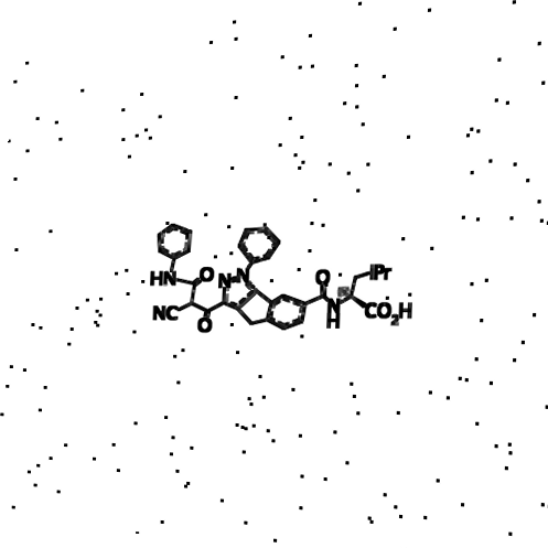 CC(C)C[C@H](NC(=O)c1ccc2c(c1)-c1c(c(C(=O)C(C#N)C(=O)Nc3ccccc3)nn1-c1ccccc1)C2)C(=O)O